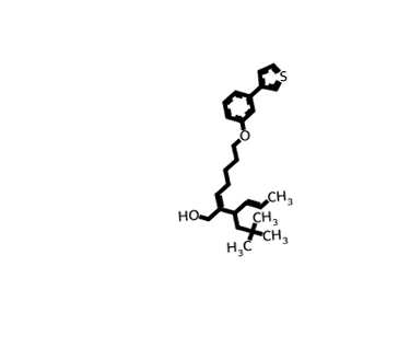 C/C=C/C(CC(C)(C)C)/C(=C\CCCCOc1cccc(-c2ccsc2)c1)CO